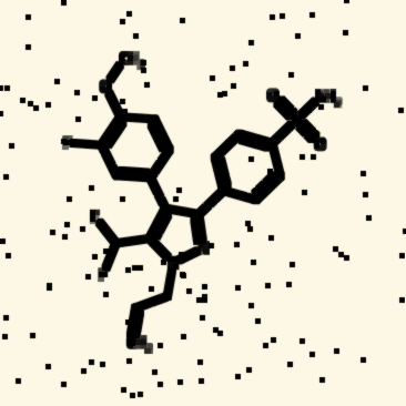 C=CCn1nc(-c2ccc(S(N)(=O)=O)cc2)c(-c2ccc(OC)c(F)c2)c1C(F)F